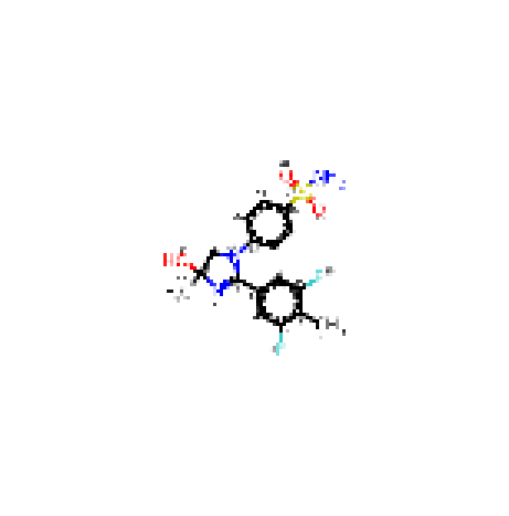 Cc1c(F)cc(C2=NC(O)(C(F)(F)F)CN2c2ccc(S(N)(=O)=O)cc2)cc1F